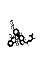 COCOC1CC[C@]2(C)[C@H]3CC[C@]4(C)[C@@H]([C@H](C)/C=C/[C@H](C)C(C)C)CC[C@H]4[C@]34C=CC2(C1)n1c(=O)c2ccccc2c(=O)n14